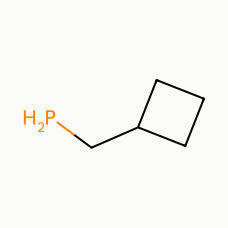 PCC1CCC1